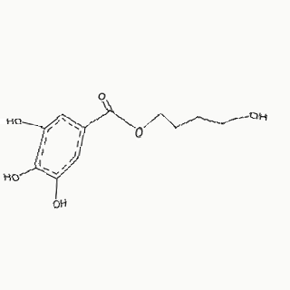 O=C(OCCCCO)c1cc(O)c(O)c(O)c1